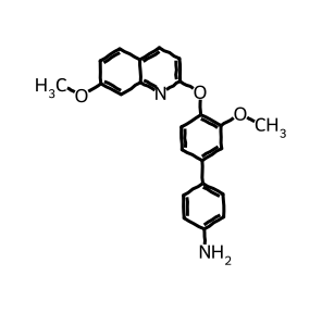 COc1ccc2ccc(Oc3ccc(-c4ccc(N)cc4)cc3OC)nc2c1